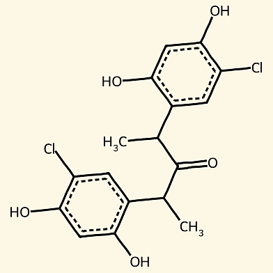 CC(C(=O)C(C)c1cc(Cl)c(O)cc1O)c1cc(Cl)c(O)cc1O